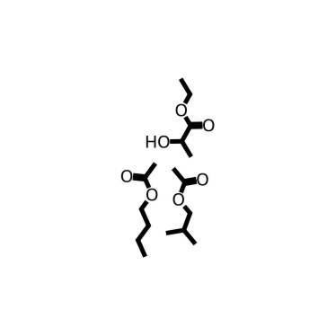 CC(=O)OCC(C)C.CCCCOC(C)=O.CCOC(=O)C(C)O